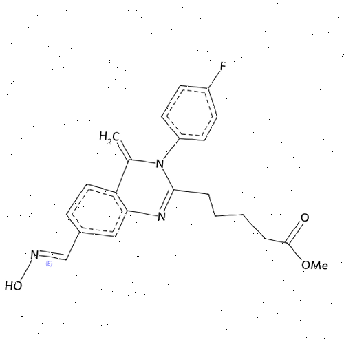 C=C1c2ccc(/C=N/O)cc2N=C(CCCCC(=O)OC)N1c1ccc(F)cc1